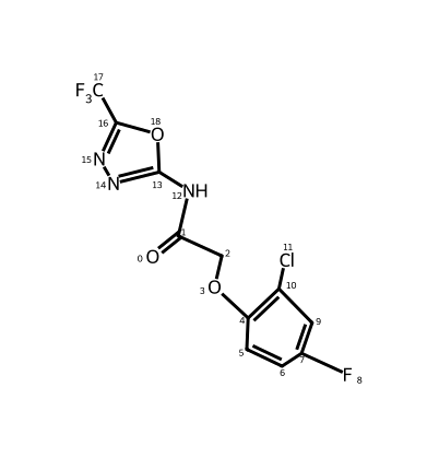 O=C(COc1ccc(F)cc1Cl)Nc1nnc(C(F)(F)F)o1